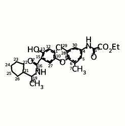 CCOC(=O)C(=O)Nc1cc(C)c(Oc2ccc(O)c(C(=O)NC(C)C3CCCCC3)c2)c(Cl)c1